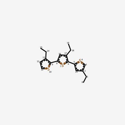 CCc1csc(-c2sc(-c3sccc3CC)cc2CC)c1